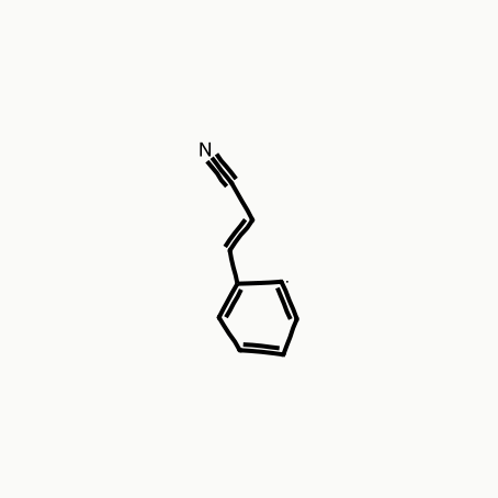 N#C/C=C/c1[c]cccc1